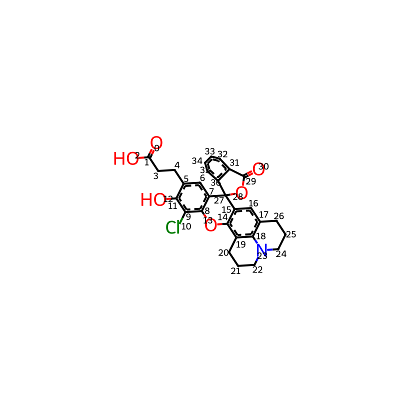 O=C(O)CCc1cc2c(c(Cl)c1O)Oc1c(cc3c4c1CCCN4CCC3)C21OC(=O)c2ccccc21